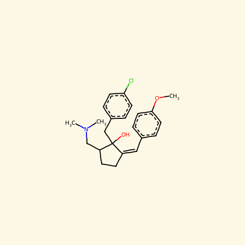 COc1ccc(C=C2CCC(CN(C)C)C2(O)Cc2ccc(Cl)cc2)cc1